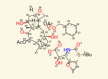 CCCCSC(=O)N[C@@H](c1ccco1)[C@@H](O)C(=O)O[C@H]1C[C@@]2(O)[C@@H](OOCc3ccccc3)[C@@H]3[C@]4(OC(C)=O)CO[C@@H]4C[C@H](O)[C@@]3(C)C(=O)[C@H](OC(C)=O)C(=C1C)C2(C)C